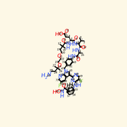 CC(C)[C@H](NC(=O)[C@H](CCC(=O)O)NC(=O)C(C)(C)CCOCCOC(C)(C)CCN)C(=O)N[C@@H](C)C(=O)Nc1ccc(Cn2cc(-c3ncc(F)c(N[C@H]4C5CCC(CC5)[C@@H]4C(=O)NO)n3)c3cc(F)cnc32)cc1